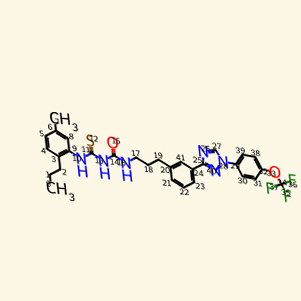 CCCc1ccc(C)cc1NC(=S)NC(=O)NCCCc1cccc(-c2ncn(-c3ccc(OC(F)(F)F)cc3)n2)c1